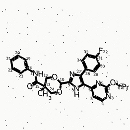 CC(C)Oc1nccc(-c2[nH]c(C3OCC(C)(C(=O)Nc4ccccc4)CO3)nc2-c2ccc(F)cc2)n1